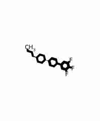 CCCC[C@H]1CC[C@H](C2=CCC(c3cc(F)c(F)c(F)c3)C=C2)CC1